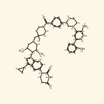 CC1CN(CC2(F)CCN(C(=O)c3ccc([C@@H]4CN(c5cc(-c6ccccc6O)nnc5N)CCO4)cc3)CC2)CC(C)C1n1cc(C2CC2)c2cc(N3CCC(=O)NC3=O)cnc21